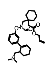 C=CCOC(=O)CC1(CN(C=O)Oc2cccc(C3=CCCCC3CN(C)C)c2)CCCCC1